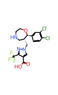 O=C(O)c1cn(C[C@@H]2CNCCO[C@H]2c2ccc(Cl)c(Cl)c2)nc1C(F)(F)F